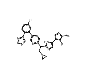 CC(=O)c1scc(-c2cnc(C(CC3CC3)c3ccc(-c4cc(Cl)ccc4-n4cnnn4)cn3)[nH]2)c1F